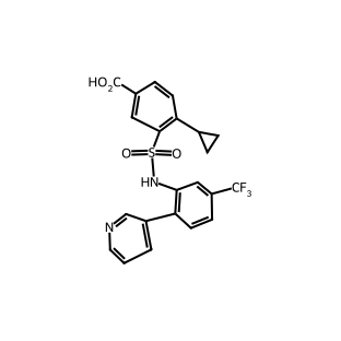 O=C(O)c1ccc(C2CC2)c(S(=O)(=O)Nc2cc(C(F)(F)F)ccc2-c2cccnc2)c1